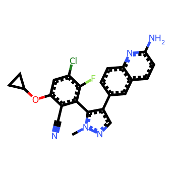 Cn1ncc(-c2ccc3nc(N)ccc3c2)c1-c1c(F)c(Cl)cc(OC2CC2)c1C#N